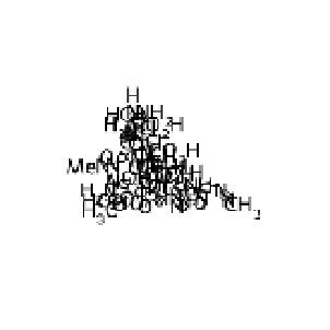 CC(=O)O.CC(=O)[C@]1(O)Cc2c(O)c3c(c(O)c2[C@@H](O[C@H]2C[C@H](N)[C@H](O)[C@H](C)O2)C1)C(=O)c1ccccc1C3=O.CNC(=O)Nc1ccc(CC(CN(CC(=O)O)CC(C)N(CC(=O)O)CC(=O)O)N(CC(=O)O)CC(=O)O)cc1.Cc1ccc(NC(=O)c2ccc(CN3CCN(C)CC3)cc2)cc1Nc1nccc(-c2cccnc2)n1.NC(=O)NO.O=P1(NCCCl)OCCCN1CCCl